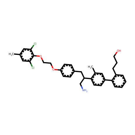 Cc1cc(Cl)c(OCCOc2ccc(CC(CN)c3ccc(-c4ccccc4CCCO)cc3C)cc2)c(Cl)c1